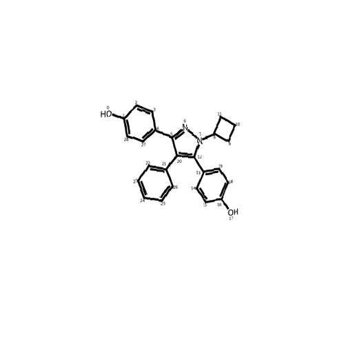 Oc1ccc(-c2nn(C3CCC3)c(-c3ccc(O)cc3)c2-c2ccccc2)cc1